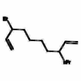 C=CC(CC)CCCCC(C=C)CCC